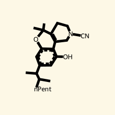 CCCCCC(C)C(C)c1cc(O)c2c(c1)OC(C)(C)C1=C2CN(C#N)CC1